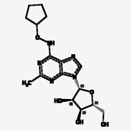 Cc1nc(NOC2CCCC2)c2ncn([C@@H]3O[C@H](CO)[C@@H](O)[C@H]3O)c2n1